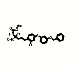 CCC(C=O)(CCCc1ccc(Oc2cccc(OCc3ccccc3)c2)cc1Cl)NC(=O)OC(C)(C)C